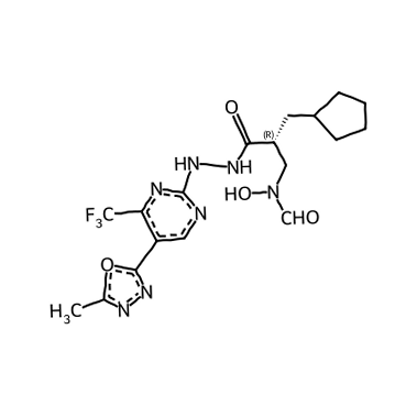 Cc1nnc(-c2cnc(NNC(=O)[C@H](CC3CCCC3)CN(O)C=O)nc2C(F)(F)F)o1